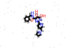 C[C@@H](NC(=O)c1nc(-c2ccc(CN3CCCC3)cn2)nc(O)c1O)C1CCCCC1